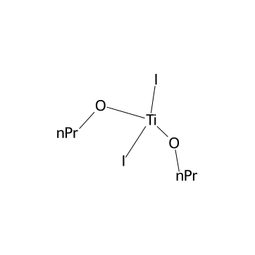 CCC[O][Ti]([I])([I])[O]CCC